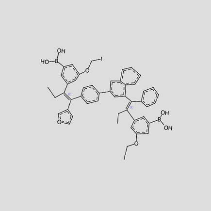 CC/C(=C(/c1ccc(-c2cc(/C(=C(\CC)c3cc(OCI)cc(B(O)O)c3)c3ccccc3)c3ccccc3c2)cc1)c1ccoc1)c1cc(OCI)cc(B(O)O)c1